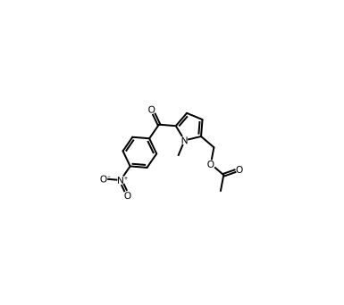 CC(=O)OCc1ccc(C(=O)c2ccc([N+](=O)[O-])cc2)n1C